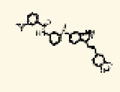 CN(C)c1cccc(C(=O)Nc2cccc(N(C)c3ccc4c(C=Cc5ccc6c(c5)OCO6)n[nH]c4c3)c2)c1